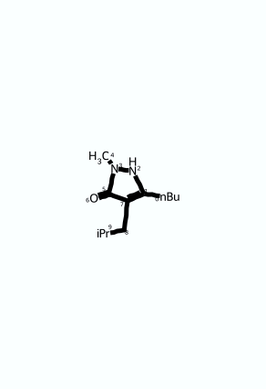 CCCCc1[nH]n(C)c(=O)c1CC(C)C